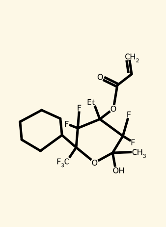 C=CC(=O)OC1(CC)C(F)(F)C(C)(O)OC(C2CCCCC2)(C(F)(F)F)C1(F)F